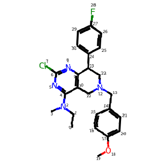 CCN(C)c1nc(Cl)nc2c1CN(Cc1ccc(OC)cc1)CC2c1ccc(F)cc1